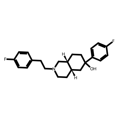 OC1(c2ccc(F)cc2)CC[C@H]2CN(CCc3ccc(F)cc3)CC[C@H]2C1